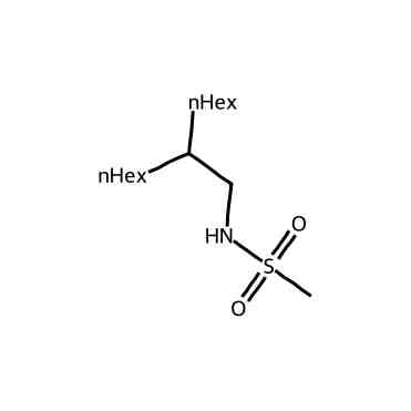 CCCCCCC(CCCCCC)CNS(C)(=O)=O